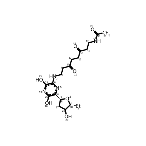 CC[C@H]1O[C@@H](c2nc(NCCC(=O)CCC(=O)CCNC(=O)C(F)(F)F)c(O)nc2O)CC1O